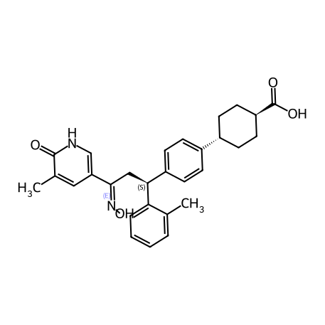 Cc1ccccc1[C@@H](C/C(=N\O)c1c[nH]c(=O)c(C)c1)c1ccc([C@H]2CC[C@H](C(=O)O)CC2)cc1